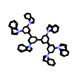 c1ccc2c(c1)ccn2C1CC(C2CC(C3CC(n4ccc5ccccc54)CC(n4ccc5ccccc54)C3)CC(n3ccc4ccccc43)C2)CC(C2CC(n3ccc4ccccc43)CC(n3ccc4ccccc43)C2)C1